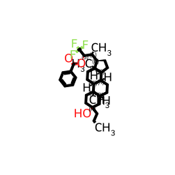 CCC[C@@]1(O)CC[C@@]2(C)[C@H](CC[C@@H]3[C@@H]2CC[C@]2(C)[C@@H]([C@H](C)[C@H](OC(=O)c4ccccc4)C(F)(F)F)CC[C@@H]32)C1